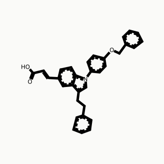 O=C(O)/C=C/c1ccc2c(c1)c(CCc1ccccc1)cn2-c1ccc(OCc2ccccc2)cc1